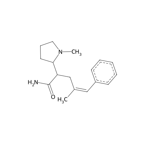 CC(=Cc1ccccc1)CC(C(N)=O)C1CCCN1C